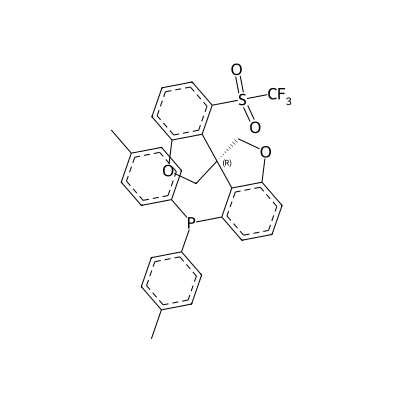 Cc1ccc(P(c2ccc(C)cc2)c2cccc3c2[C@@]2(CO3)COc3cccc(S(=O)(=O)C(F)(F)F)c32)cc1